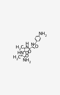 C=C(NC(=O)C(=C)NC(=O)c1coc(-c2ccc(N)cc2)n1)C(N)=O